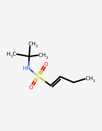 CCC=CS(=O)(=O)NC(C)(C)C